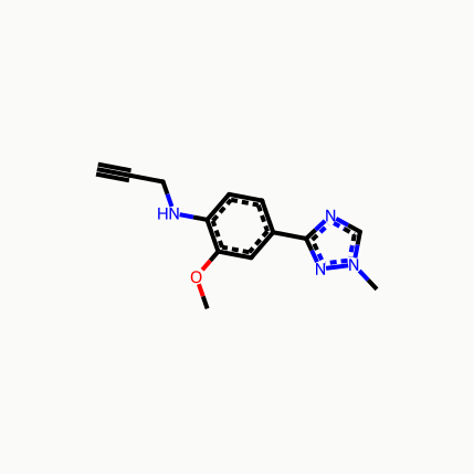 C#CCNc1ccc(-c2ncn(C)n2)cc1OC